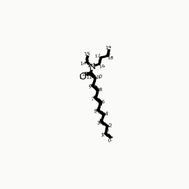 CCCCCCCCCCCC(=O)N(CC)CCCC